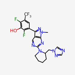 Cn1nc(-c2cc(C(F)(F)F)c(F)c(O)c2F)c2cnc(N3CCCCC3Cn3cncn3)nc21